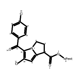 CCCCCOC(=O)C1CCn2c1cc(Cl)c2C(=O)c1ccc(Cl)cc1